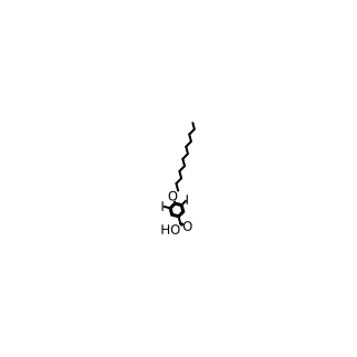 CCCCCCCCCCCCOc1c(I)cc(C(=O)O)cc1I